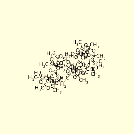 C[SiH](O[Si](C)(C)C)O[Si](C)(C)O[Si](C)(C)O[Si](C)(C)O[Si](C)(C)O[Si](C)(C)O[Si](C)(C)O[Si](C)(C)O[Si](C)(C)O[Si](C)(C)O[Si](C)(C)O[Si](C)(C)O[Si](C)(C)O[Si](C)(C)O[Si](C)(C)O[Si](C)(C)O[Si](C)(C)O[Si](C)(C)C